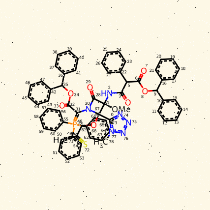 CO[C@]1(NC(=O)C(C(=O)OC(c2ccccc2)c2ccccc2)c2ccccc2)C(=O)N(C(C(=O)OC(c2ccccc2)c2ccccc2)=P(c2ccccc2)(c2ccccc2)c2ccccc2)[C@@]1(OCC(C)=S)c1nnnn1C